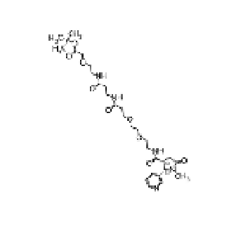 CN1C(=O)C[C@H](C(=O)NCCOCCOCCC(=O)NCCC(=O)NCCOCC(=O)OC(C)(C)C)[C@H]1c1cccnc1